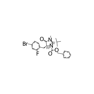 CN1C(=O)[C@H](Cc2ccc(Br)cc2F)N(C(=O)OCc2ccccc2)[C@H]1C(C)(C)C